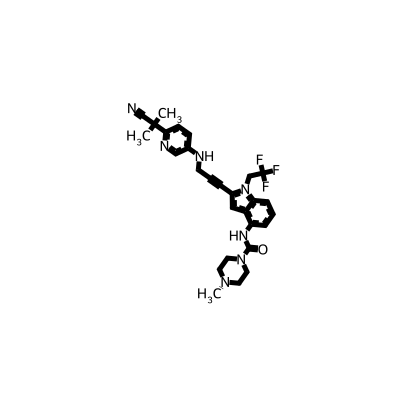 CN1CCN(C(=O)Nc2cccc3c2cc(C#CCNc2ccc(C(C)(C)C#N)nc2)n3CC(F)(F)F)CC1